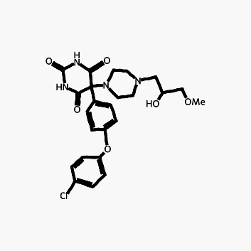 COCC(O)CN1CCN(C2(c3ccc(Oc4ccc(Cl)cc4)cc3)C(=O)NC(=O)NC2=O)CC1